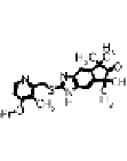 CCCOc1ccnc(CSc2nc3cc4c(cc3[nH]2)C(C)(C)C(=O)C4(C)C)c1C